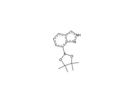 CC1(C)OB(c2cccc3c[nH]nc23)OC1(C)C